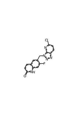 O=c1ccc2cc(Cn3nnc4ccc(Cl)nc43)c(F)cc2[nH]1